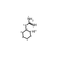 I.N=C(N)SC1CCCCC1